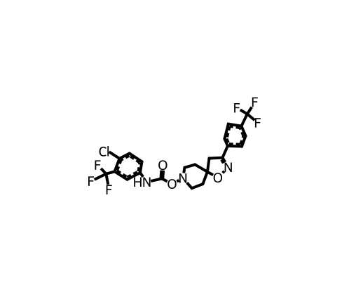 O=C(Nc1ccc(Cl)c(C(F)(F)F)c1)ON1CCC2(CC1)CC(c1ccc(C(F)(F)F)cc1)=NO2